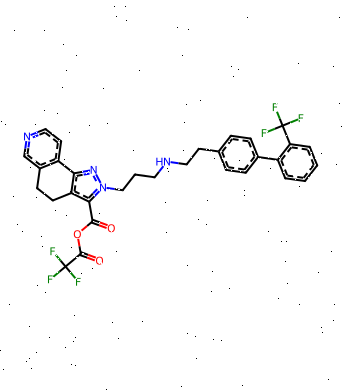 O=C(OC(=O)C(F)(F)F)c1c2c(nn1CCCNCCc1ccc(-c3ccccc3C(F)(F)F)cc1)-c1ccncc1CC2